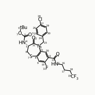 CC(C)(C)OC(=O)N[C@H]1CSc2cc(F)c(C(=O)NCCCC(F)(F)F)cc2N(Cc2ccc(Cl)cc2)C1=O